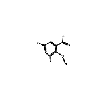 CCOc1c(C)cc(Cl)cc1C(=O)Cl